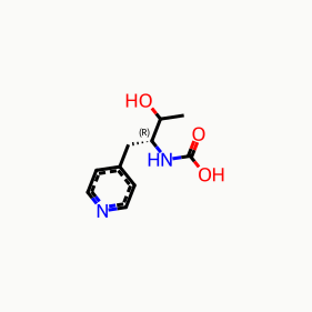 CC(O)[C@@H](Cc1ccncc1)NC(=O)O